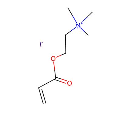 C=CC(=O)OCC[N+](C)(C)C.[I-]